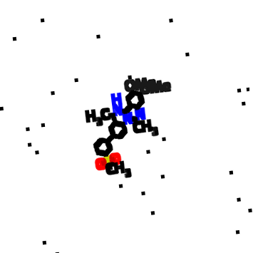 COc1cc2nc(C)nc(NC(C)c3cccc(-c4cccc(S(C)(=O)=O)c4)c3)c2cc1OC